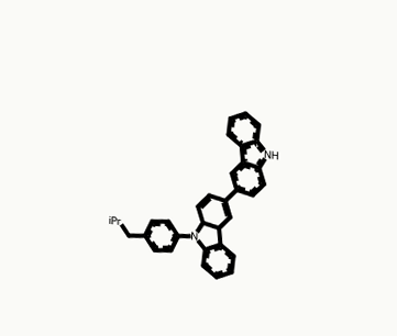 CC(C)Cc1ccc(N2c3ccccc3C3C=C(c4ccc5[nH]c6ccccc6c5c4)C=CC32)cc1